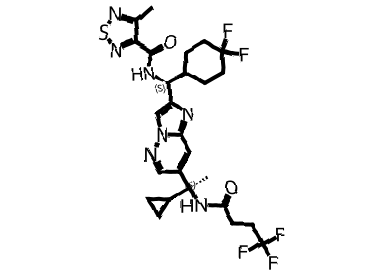 Cc1nsnc1C(=O)N[C@H](c1cn2ncc([C@@](C)(NC(=O)CCC(F)(F)F)C3CC3)cc2n1)C1CCC(F)(F)CC1